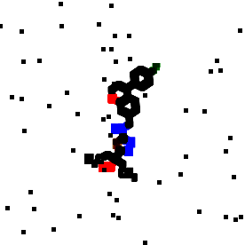 CCC(O)(CC)c1nnc(NCc2ccc3c(c2)OCC=C3c2ccc(F)cc2)s1